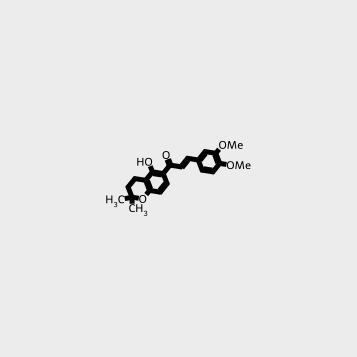 COc1ccc(/C=C/C(=O)c2ccc3c(c2O)CCC(C)(C)O3)cc1OC